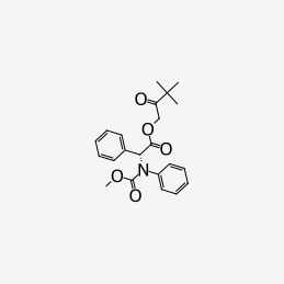 COC(=O)N(c1ccccc1)[C@@H](C(=O)OCC(=O)C(C)(C)C)c1ccccc1